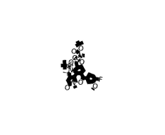 COc1cc(C(=O)c2ccc(CS(=O)(=O)N(C)C(=O)OC(C)(C)C)cc2-c2cn(C)c(=O)cc2[C@H](C)N[S@@+]([O-])C(C)(C)C)ccc1F